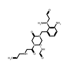 C=CCNCC(=O)N1CC(=O)N(Cc2cccc(N)c2N(N)CC=O)C[C@@H]1NC=O